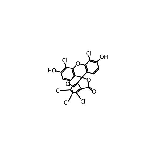 O=C1OC2(c3ccc(O)c(Cl)c3Oc3c2ccc(O)c3Cl)c2c(Cl)c(Cl)c(Cl)c(Cl)c21